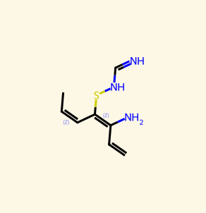 C=C/C(N)=C(\C=C/C)SNC=N